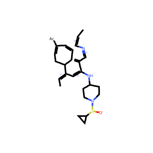 C=C(/C=N\C=C/C)/C(=C\C(=C/C)C1CC=CC(C(C)=O)=CC1)NC1CCN([S+]([O-])C2CC2)CC1